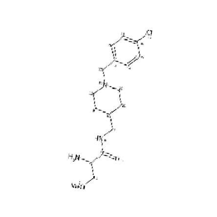 COCC(N)C(=O)NCC1CCN(Cc2ccc(Cl)cc2)CC1